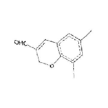 Cc1cc(C)c2c(c1)C=C(C=O)CO2